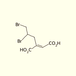 O=C(O)C=C(CC(Br)CBr)C(=O)O